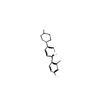 CCCC1CCC(c2ccc(-c3ccc(CC)cc3F)nc2)CC1